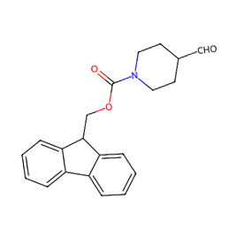 O=CC1CCN(C(=O)OCC2c3ccccc3-c3ccccc32)CC1